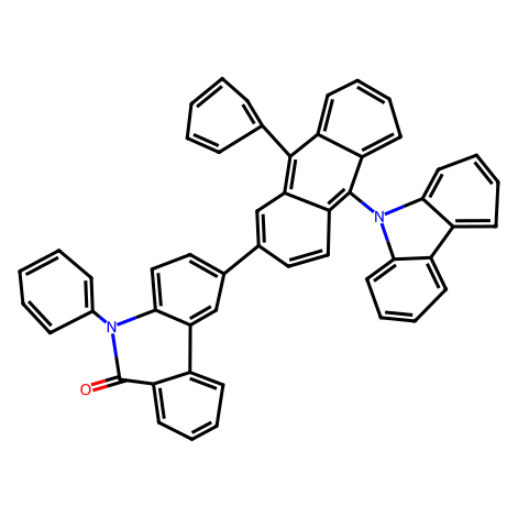 O=c1c2ccccc2c2cc(-c3ccc4c(-n5c6ccccc6c6ccccc65)c5ccccc5c(-c5ccccc5)c4c3)ccc2n1-c1ccccc1